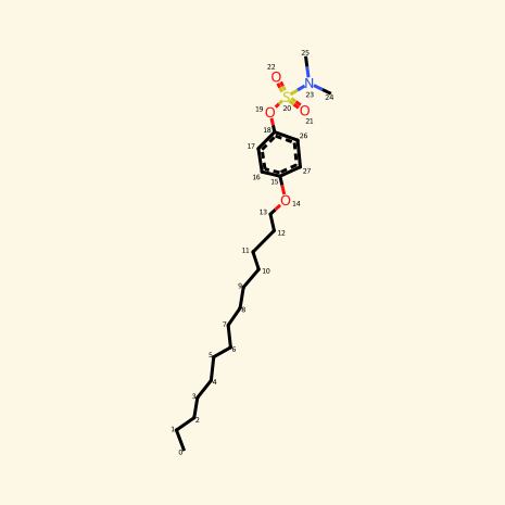 CCCCCCCCCCCCCCOc1ccc(OS(=O)(=O)N(C)C)cc1